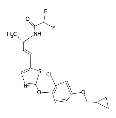 C[C@@H](/C=C/c1cnc(Oc2ccc(OCC3CC3)cc2Cl)s1)NC(=O)C(F)F